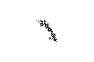 NC(=O)C1CCCN1C(=O)c1ccc(-c2ccc(OCC3CCN(CC4(C(F)(F)F)CCC4)CC3)cn2)cc1F